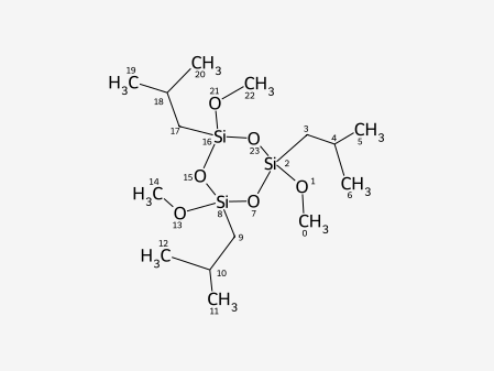 CO[Si]1(CC(C)C)O[Si](CC(C)C)(OC)O[Si](CC(C)C)(OC)O1